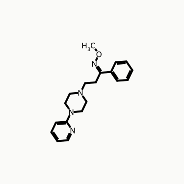 CON=C(CCN1CCN(c2ccccn2)CC1)c1ccccc1